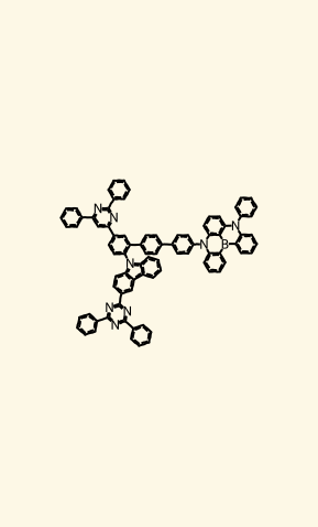 c1ccc(-c2cc(-c3ccc(-n4c5ccccc5c5cc(-c6nc(-c7ccccc7)nc(-c7ccccc7)n6)ccc54)c(-c4ccc(-c5ccc(N6c7ccccc7B7c8ccccc8N(c8ccccc8)c8cccc6c87)cc5)cc4)c3)nc(-c3ccccc3)n2)cc1